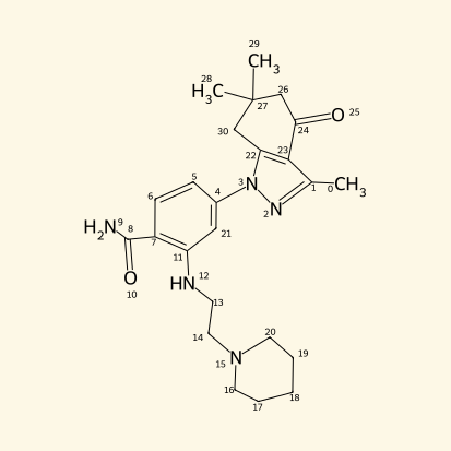 Cc1nn(-c2ccc(C(N)=O)c(NCCN3CCCCC3)c2)c2c1C(=O)CC(C)(C)C2